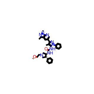 COCCN1C[C@@H](NC(=O)Nc2c(C)c(-c3cnc4c(c3)c(C)nn4C)nn2-c2ccccc2)[C@H](c2ccccc2)C1